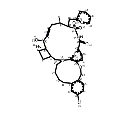 C[C@@H]1C/C=C/[C@H](O)[C@@H]2CCC2CN2CCCCc3cc(Cl)ccc3COc3ccc(cc32)C(=O)NS(=O)(=O)C1Cc1ccccc1